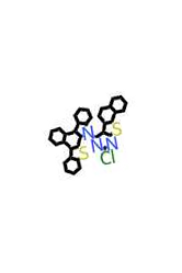 Clc1nc(-n2c3ccccc3c3c4ccccc4c4c5ccccc5sc4c32)c2c(n1)sc1c3ccccc3ccc12